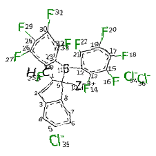 CC1=Cc2ccccc2[C]1([Zr+3])B(c1c(F)c(F)c(F)c(F)c1F)c1c(F)c(F)c(F)c(F)c1F.[Cl-].[Cl-].[Cl-]